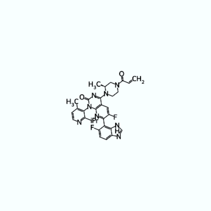 C=CC(=O)N1CCN(c2nc(=O)n(-c3c(C)ccnc3C(C)C)c3nc(-c4c(F)ccc5nc[nH]c45)c(F)cc23)[C@@H](C)C1